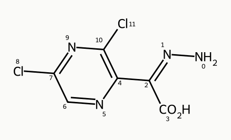 NN=C(C(=O)O)c1ncc(Cl)nc1Cl